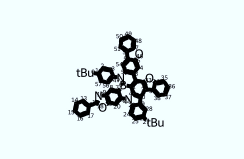 CC(C)(C)c1ccc(N2B3c4cc5nc(-c6ccccc6)oc5cc4-n4c5ccc(C(C)(C)C)cc5c5c6c(oc7ccccc76)c(c3c54)-c3cc4oc5ccccc5c4cc32)cc1